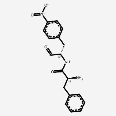 N[C@@H](Cc1ccccc1)C(=O)N[C@H]([C]=O)Cc1ccc([N+](=O)[O-])cc1